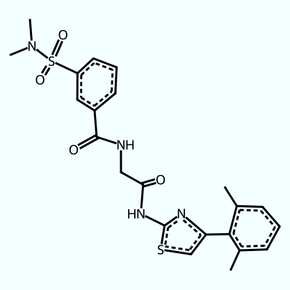 Cc1cccc(C)c1-c1csc(NC(=O)CNC(=O)c2cccc(S(=O)(=O)N(C)C)c2)n1